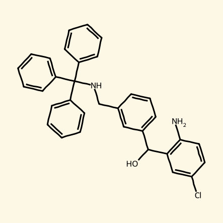 Nc1ccc(Cl)cc1C(O)c1cccc(CNC(c2ccccc2)(c2ccccc2)c2ccccc2)c1